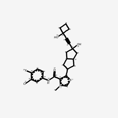 Cn1cnc(C2CC3CC(O)(C#CC4(O)CCC4)CC3C2)c1C(=O)Nc1ccc(F)c(Cl)c1